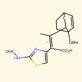 COC12C=CC(CC1)CC2/C(C)=C(\C(=O)O)c1csc(NC=O)n1